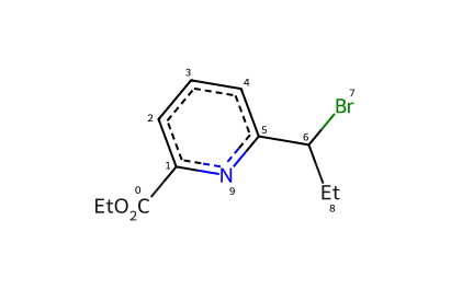 CCOC(=O)c1cccc(C(Br)CC)n1